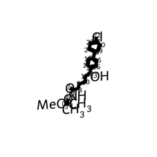 COC(C)(C)ONC(=O)CCCCC(O)c1ccc(-c2ccc(Cl)cc2)cc1